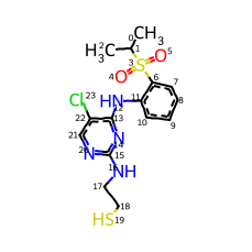 CC(C)S(=O)(=O)c1ccccc1Nc1nc(NCCS)ncc1Cl